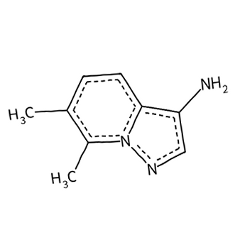 Cc1ccc2c(N)cnn2c1C